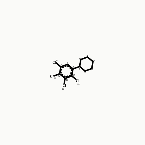 Clc1cc(C2CCCCC2)c(Cl)c(Cl)c1Cl